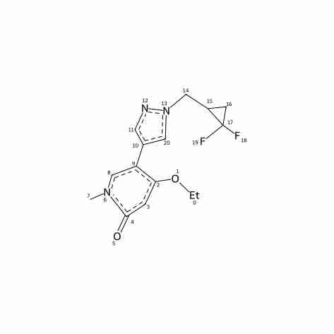 CCOc1cc(=O)n(C)cc1-c1cnn(CC2CC2(F)F)c1